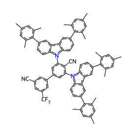 Cc1cc(C)c(-c2ccc3c(c2)c2cc(-c4c(C)cc(C)cc4C)ccc2n3-c2cc(-c3cc(C#N)cc(C(F)(F)F)c3)cc(-n3c4ccc(-c5c(C)cc(C)cc5C)cc4c4cc(-c5c(C)cc(C)cc5C)ccc43)c2C#N)c(C)c1